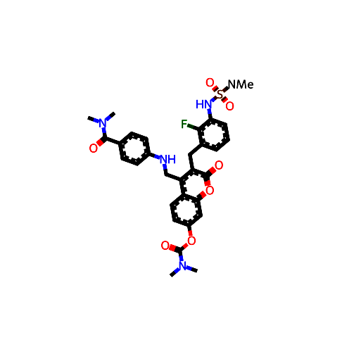 CNS(=O)(=O)Nc1cccc(Cc2c(CNc3ccc(C(=O)N(C)C)cc3)c3ccc(OC(=O)N(C)C)cc3oc2=O)c1F